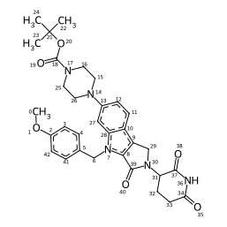 COc1ccc(Cn2c3c(c4ccc(N5CCN(C(=O)OC(C)(C)C)CC5)cc42)CN(C2CCC(=O)NC2=O)C3=O)cc1